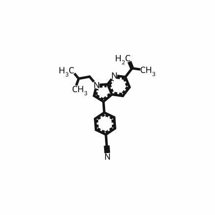 C=C(C)c1ccc2c(-c3ccc(C#N)cc3)cn(CC(C)C)c2n1